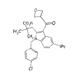 CC(C)c1ccc2c(c1)c(C(=O)C1COC1)c(CC(C)(C)C(=O)O)n2Cc1ccc(Cl)cc1